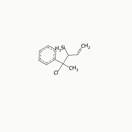 C=CC([SiH3])C(C)(Cl)c1ccccc1